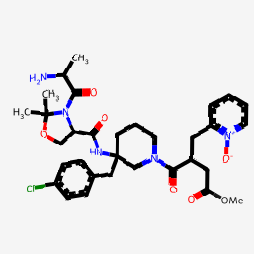 COC(=O)CC(Cc1cccc[n+]1[O-])C(=O)N1CCCC(Cc2ccc(Cl)cc2)(NC(=O)C2COC(C)(C)N2C(=O)C(C)N)C1